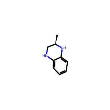 C[C@@H]1CNc2ccccc2N1